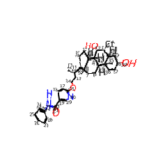 CC[C@H]1[C@@H](O)[C@@H]2[C@H](CC[C@]3(C)[C@@H]([C@H](C)CCOc4ccc(C(=O)Nc5ccccc5)cn4)CC[C@@H]23)[C@@]2(C)CC[C@@H](O)C[C@@H]12